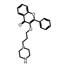 O=c1c(OCCCN2CCNCC2)c(-c2ccccc2)oc2ccccc12